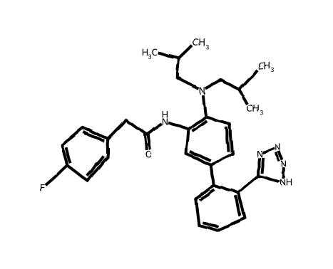 CC(C)CN(CC(C)C)c1ccc(-c2ccccc2-c2nnn[nH]2)cc1NC(=O)Cc1ccc(F)cc1